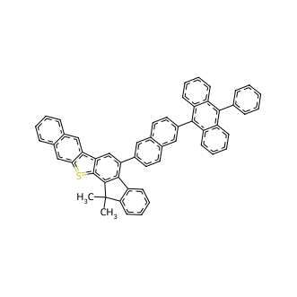 CC1(C)c2ccccc2-c2c(-c3ccc4cc(-c5c6ccccc6c(-c6ccccc6)c6ccccc56)ccc4c3)cc3c(sc4cc5ccccc5cc43)c21